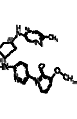 COc1cccn(-c2ccc(N[C@@H]3CC[C@@H](Nc4cnc(C)cn4)C3)nc2)c1=O